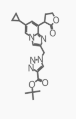 CC(C)(C)OC(=O)c1cn(Cc2cn3cc(C4CC4)cc(C4CCOC4=O)c3n2)nn1